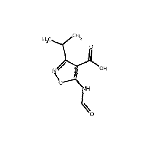 CC(C)c1noc(NC=O)c1C(=O)O